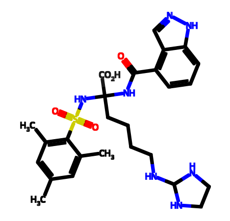 Cc1cc(C)c(S(=O)(=O)NC(CCCCNC2NCCN2)(NC(=O)c2cccc3[nH]ncc23)C(=O)O)c(C)c1